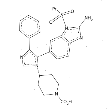 CCOC(=O)N1CCC(n2cnc(-c3ccccc3)c2-c2ccc3nc(N)n(S(=O)(=O)C(C)C)c3c2)CC1